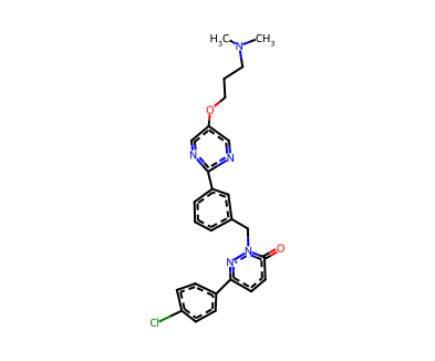 CN(C)CCCOc1cnc(-c2cccc(Cn3nc(-c4ccc(Cl)cc4)ccc3=O)c2)nc1